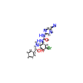 CN(CC(O)c1ccccc1)c1ccc(Br)cc1NC(=O)Nc1cnc(C#N)cn1